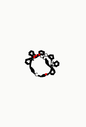 c1cc2cc(c1)-n1c[n+](c3ccccc31)-c1c3cccc1-c1ccc(cc1)CCc1ccc(cc1)-c1cccc(c1-[n+]1cn(c4ccccc41)-c1cccc(c1)O2)-c1ccc(cc1)CCc1ccc-3cc1